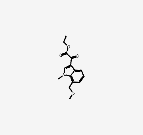 CCOC(=O)C(=O)c1cn(C)c2c(COC)cccc12